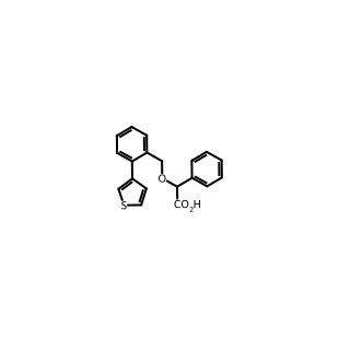 O=C(O)C(OCc1ccccc1-c1ccsc1)c1ccccc1